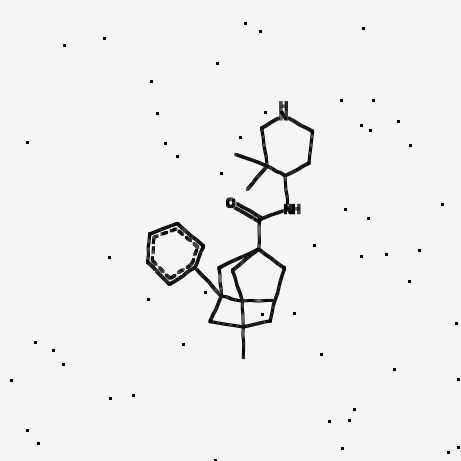 CC1(C)CNCCC1NC(=O)C12CC3CC4(C)CC(c5ccccc5)(C1)C34C2